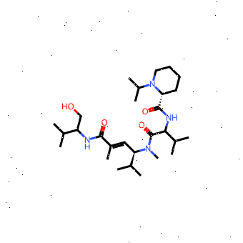 C/C(=C\[C@H](C(C)C)N(C)C(=O)C(NC(=O)[C@H]1CCCCN1C(C)C)C(C)C)C(=O)NC(CO)C(C)C